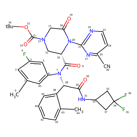 Cc1cc(F)cc(N(C(=O)[C@@H]2CN(C(=O)OC(C)(C)C)CC(=O)N2c2nccc(C#N)n2)[C@H](C(=O)NC2CC(F)(F)C2)c2ccccc2C)c1